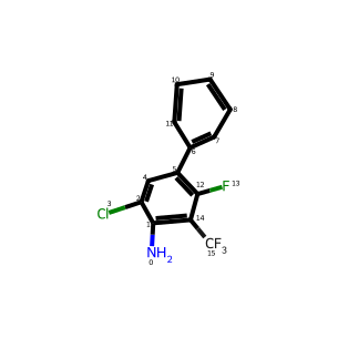 Nc1c(Cl)cc(-c2ccccc2)c(F)c1C(F)(F)F